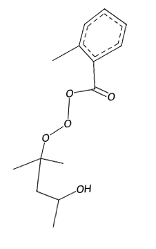 Cc1ccccc1C(=O)OOOC(C)(C)CC(C)O